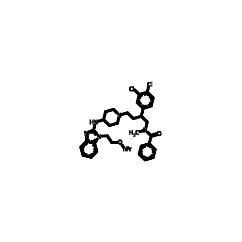 CCCOCCn1c(NC2CCN(CCC(CN(C)C(=O)c3ccccc3)c3ccc(Cl)c(Cl)c3)CC2)nc2ccccc21